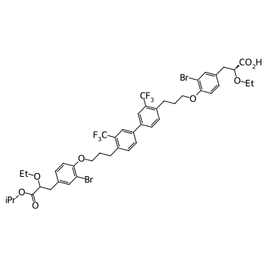 CCOC(Cc1ccc(OCCCc2ccc(-c3ccc(CCCOc4ccc(C[C@H](OCC)C(=O)O)cc4Br)c(C(F)(F)F)c3)cc2C(F)(F)F)c(Br)c1)C(=O)OC(C)C